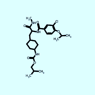 CNC(=O)C(CC1CCC(NC(=O)OCC(C)C)CC1)NC(=O)c1ccc(OC(C)C)c(Cl)c1